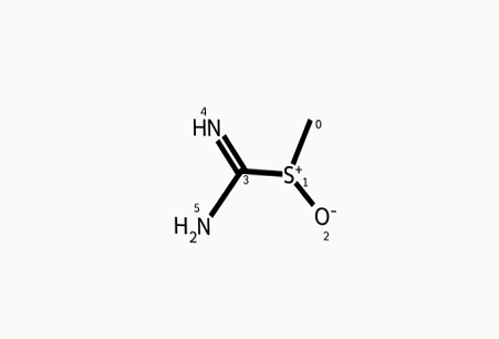 C[S+]([O-])C(=N)N